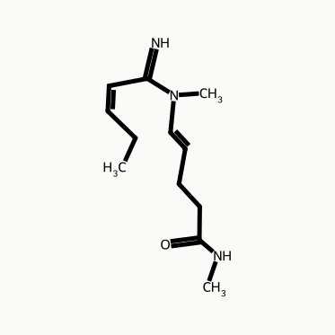 CC/C=C\C(=N)N(C)/C=C/CCC(=O)NC